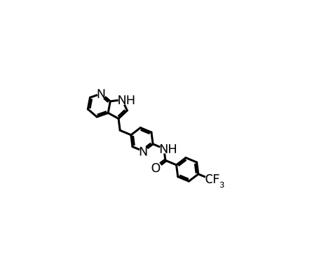 O=C(Nc1ccc(Cc2c[nH]c3ncccc23)cn1)c1ccc(C(F)(F)F)cc1